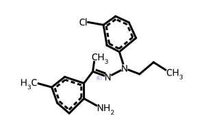 CCCN(/N=C(\C)c1cc(C)ccc1N)c1cccc(Cl)c1